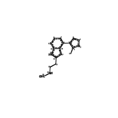 Cn1nccc1-c1ccnc2[nH]c(CCNC=O)cc12